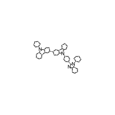 c1ccc(-n2c(-c3ccc(-n4c5ccccc5c5cc(-c6ccc7c(c6)c6ccccc6n7-c6ccccc6)ccc54)cc3)nc3ccccc32)cc1